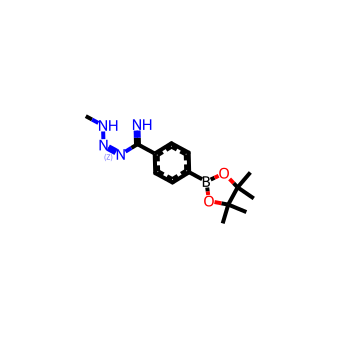 CN/N=N\C(=N)c1ccc(B2OC(C)(C)C(C)(C)O2)cc1